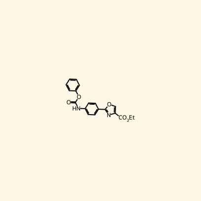 CCOC(=O)c1coc(-c2ccc(NC(=O)Oc3ccccc3)cc2)n1